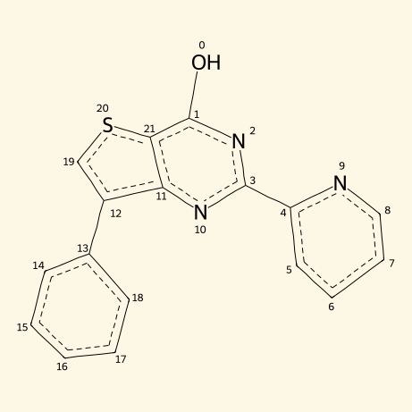 Oc1nc(-c2ccccn2)nc2c(-c3ccccc3)csc12